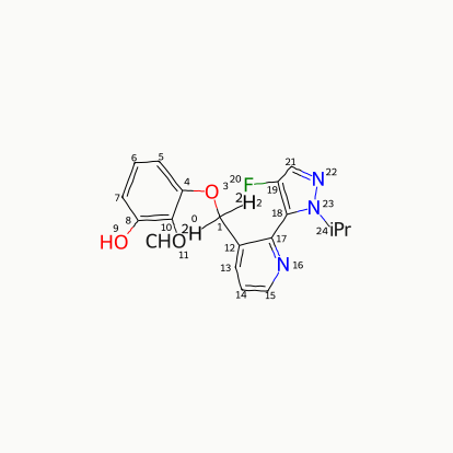 [2H]C([2H])(Oc1cccc(O)c1C=O)c1cccnc1-c1c(F)cnn1C(C)C